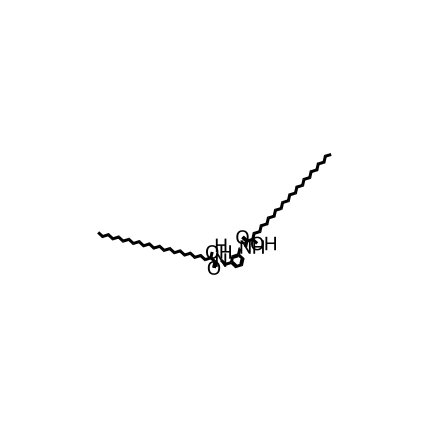 CCCCCCCCCCCCCCCCCCCCCCC(O)C(=O)NCc1cccc(CNC(=O)C(O)CCCCCCCCCCCCCCCCCCCCCC)c1